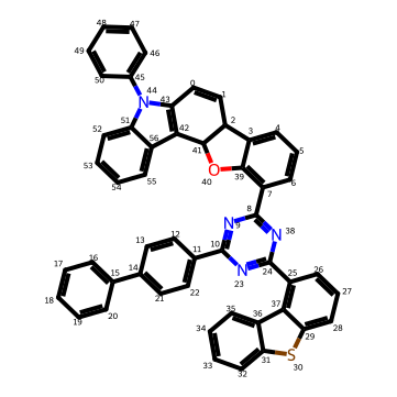 C1=CC2c3cccc(-c4nc(-c5ccc(-c6ccccc6)cc5)nc(-c5cccc6sc7ccccc7c56)n4)c3OC2c2c1n(-c1ccccc1)c1ccccc21